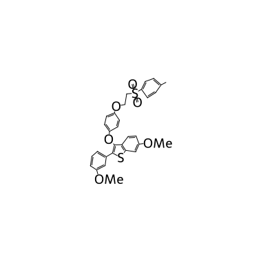 COc1cccc(-c2sc3cc(OC)ccc3c2Oc2ccc(OCCS(=O)(=O)c3ccc(C)cc3)cc2)c1